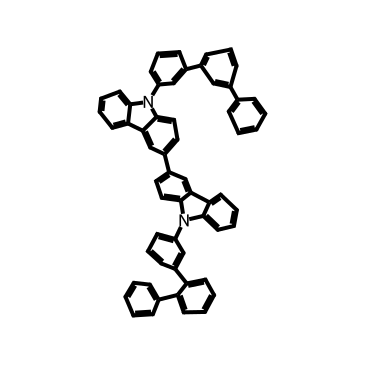 c1ccc(-c2cccc(-c3cccc(-n4c5ccccc5c5cc(-c6ccc7c(c6)c6ccccc6n7-c6cccc(-c7ccccc7-c7ccccc7)c6)ccc54)c3)c2)cc1